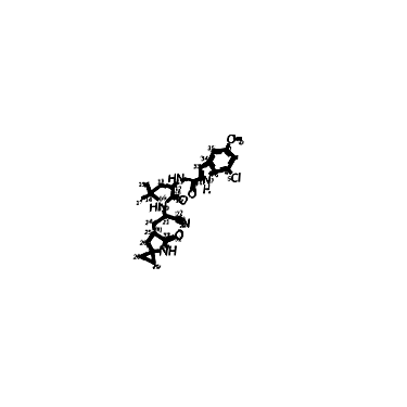 COc1cc(Cl)c2[nH]c(C(=O)NC(CC(C)(C)C)C(=O)NC(C#N)C[C@@H]3CC4(CC4)NC3=O)cc2c1